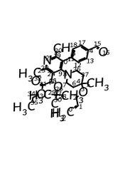 C=CCOC1(C)CCN(c2c(-c3ccc(C=O)cc3)c(C)nc(C)c2[C@H](OC(C)(C)C)C(=O)OCC)CC1